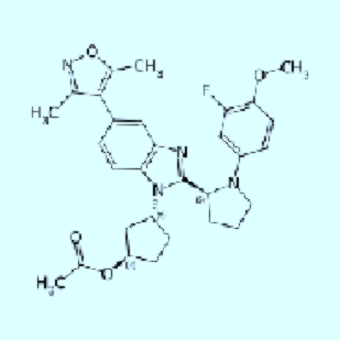 COc1ccc(N2CCC[C@H]2c2nc3cc(-c4c(C)noc4C)ccc3n2[C@@H]2CC[C@@H](OC(C)=O)C2)cc1F